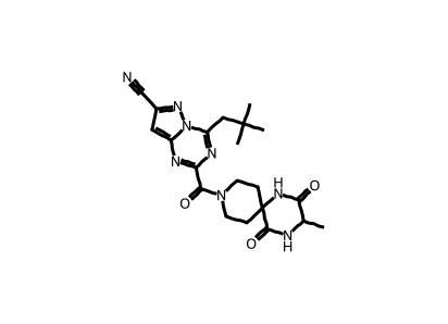 CC1NC(=O)C2(CCN(C(=O)c3nc(CC(C)(C)C)n4nc(C#N)cc4n3)CC2)NC1=O